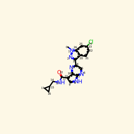 Cn1nc(-c2cnc3[nH]cc(C(=O)NCC4CC4)c3n2)c2ccc(Cl)cc21